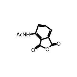 CC(=O)[15NH]c1cccc2c1C(=O)OC2=O